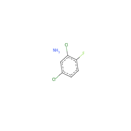 Fc1ccc(Cl)cc1Cl.N